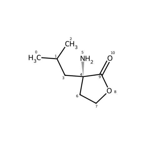 CC(C)C[C@]1(N)CCOC1=O